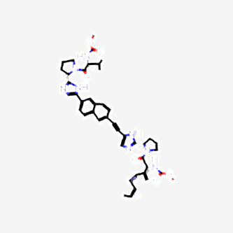 C=C(/C=C\C=C/C)[C@@H](NC(=O)OC)C(=O)N1CCC[C@H]1c1ncc(C#Cc2ccc3cc(-c4cnc([C@@H]5CCCN5C(=O)[C@@H](NC(=O)OC)C(C)C)[nH]4)ccc3c2)[nH]1